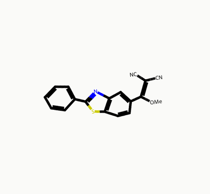 COC(=C(C#N)C#N)c1ccc2sc(-c3ccccc3)nc2c1